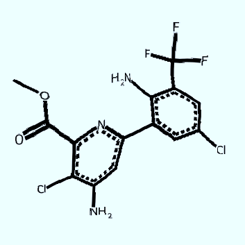 COC(=O)c1nc(-c2cc(Cl)cc(C(F)(F)F)c2N)cc(N)c1Cl